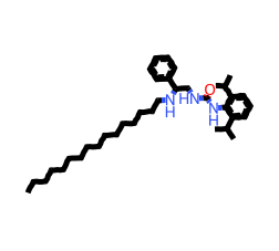 CCCCCCCCCCCCCCCCNC(CNC(=O)Nc1c(C(C)C)cccc1C(C)C)c1ccccc1